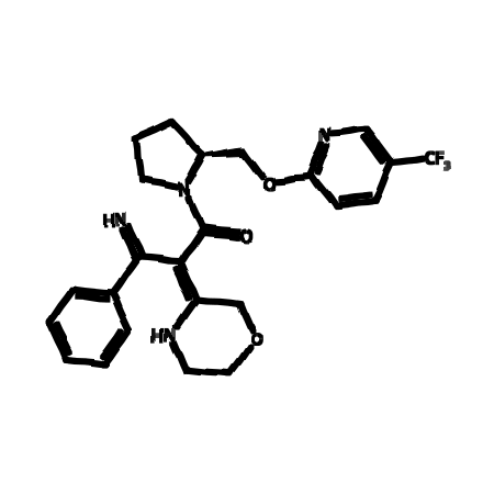 N=C(/C(C(=O)N1CCC[C@H]1COc1ccc(C(F)(F)F)cn1)=C1/COCCN1)c1ccccc1